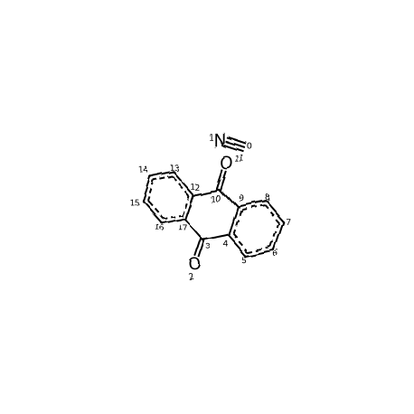 C#N.O=C1c2ccccc2C(=O)c2ccccc21